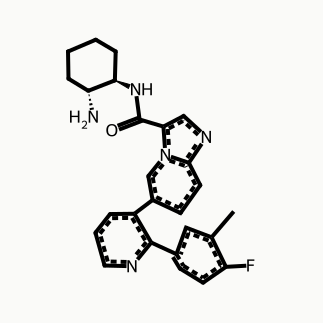 Cc1cc(-c2ncccc2-c2ccc3ncc(C(=O)N[C@@H]4CCCC[C@H]4N)n3c2)ccc1F